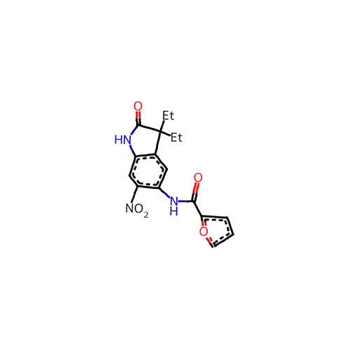 CCC1(CC)C(=O)Nc2cc([N+](=O)[O-])c(NC(=O)c3ccco3)cc21